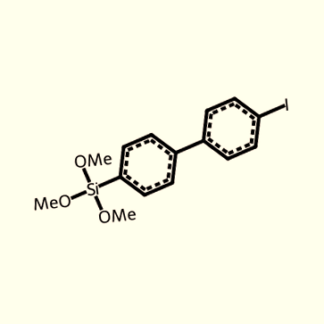 CO[Si](OC)(OC)c1ccc(-c2ccc(I)cc2)cc1